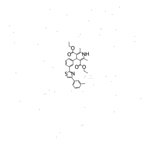 CCOC(=O)C1=C(C)NC(C)=C(C(=O)OCC)C1c1cccc(-c2nc(-c3cccc(C)c3)cs2)c1